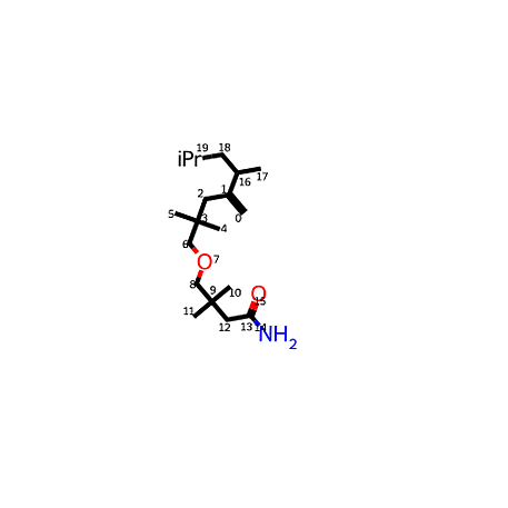 C=C(CC(C)(C)COCC(C)(C)CC(N)=O)C(C)CC(C)C